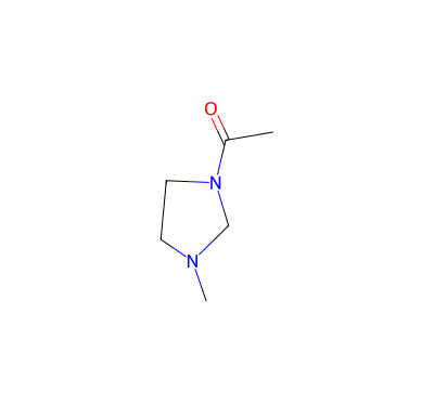 CC(=O)N1CCN(C)C1